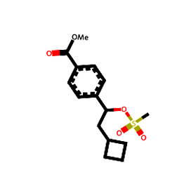 COC(=O)c1ccc(C(CC2CCC2)OS(C)(=O)=O)cc1